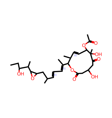 CCC(O)C(C)C1OC1CC(C)/C=C/C=C(\C)C1OC(=O)CC(O)CC(=O)C(C)(O)C(OC(C)=O)/C=C/C1C